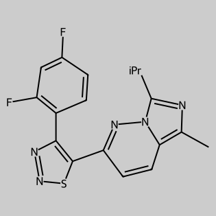 Cc1nc(C(C)C)n2nc(-c3snnc3-c3ccc(F)cc3F)ccc12